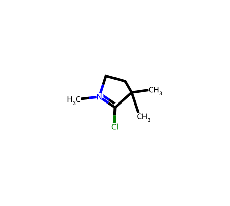 C[N+]1=C(Cl)C(C)(C)CC1